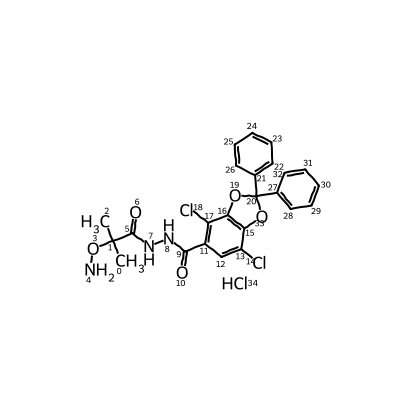 CC(C)(ON)C(=O)NNC(=O)c1cc(Cl)c2c(c1Cl)OC(c1ccccc1)(c1ccccc1)O2.Cl